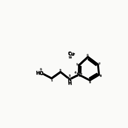 OCCN[n+]1ccccc1.[Cu]